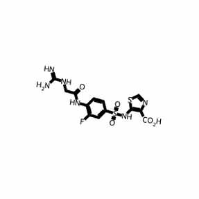 N=C(N)NCC(=O)Nc1ccc(S(=O)(=O)Nc2scnc2C(=O)O)cc1F